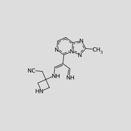 Cc1nc2ccnc(/C(C=N)=C/NC3(CC#N)CNC3)n2n1